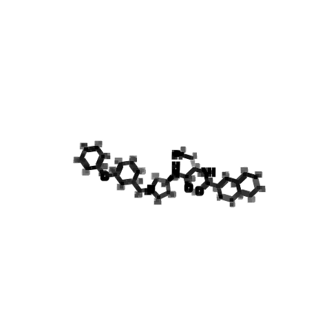 CC(C)C[C@H](NC(=O)c1ccc2ccccc2c1)C(=O)N[C@H]1CCN(Cc2cccc(Oc3ccccc3)c2)C1